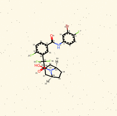 O=C(Nc1ccc(F)c(Br)c1)c1ccc(F)c(C(F)(F)C(=O)N2[C@@H]3CC[C@H]2CC(O)C3)c1